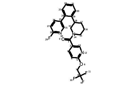 O=C(c1ccc(OCC(F)(F)F)nc1)N1CCCC(c2ccccc2-c2ccc(F)nc2)C1